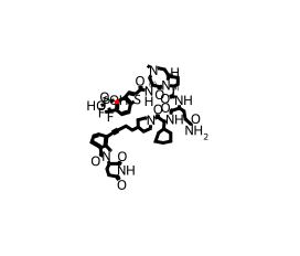 CN1CC[C@H]2CC[C@@H](C(=O)NC(CCC(N)=O)C(=O)NC(C(=O)N3CCC(CCC#Cc4cccc5c4CN(C4CCC(=O)NC4=O)C5=O)CC3)C3CCCCC3)N2C(=O)[C@@H](NC(=O)c2cc3cc(C(F)(F)P(=O)(O)O)ccc3s2)C1